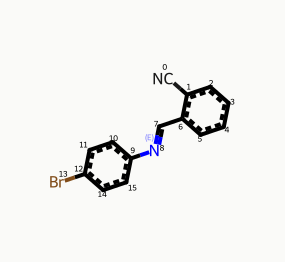 N#Cc1ccccc1/C=N/c1ccc(Br)cc1